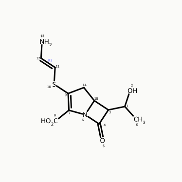 CC(O)C1C(=O)N2C(C(=O)O)=C(S/C=C/N)CC12